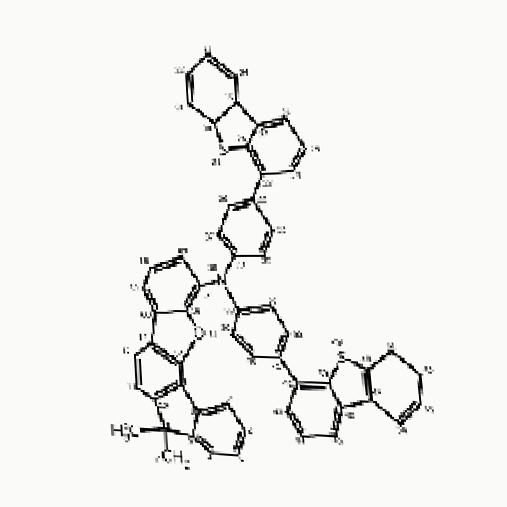 CC1(C)c2ccccc2-c2c1ccc1c2oc2c(N(c3ccc(-c4cccc5c4SC4C=CC=CC54)cc3)c3ccc(-c4cccc5c6c(sc45)CCC=C6)cc3)cccc21